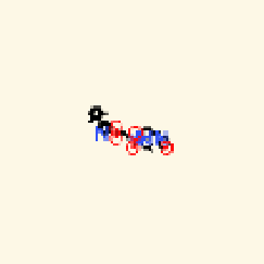 Cc1cccc(C)c1-c1cncc(OC(=O)CCNC(=O)C(CC(C)C)n2cc(CN3CCOCC3)ccc2=O)c1